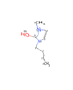 CCCCN1C=CN(C)C1O